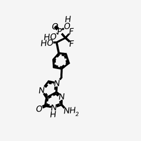 Nc1nc2c(ncn2Cc2ccc(C(O)C(F)(F)P(=O)(O)O)cc2)c(=O)[nH]1